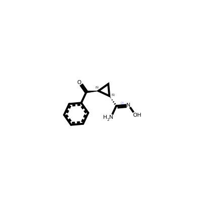 N/C(=N\O)[C@H]1C[C@@H]1C(=O)c1ccccc1